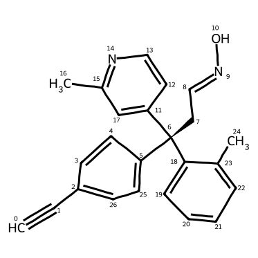 C#Cc1ccc([C@](C/C=N/O)(c2ccnc(C)c2)c2ccccc2C)cc1